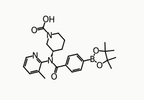 Cc1cccnc1N(C(=O)c1ccc(B2OC(C)(C)C(C)(C)O2)cc1)[C@@H]1CCCN(C(=O)O)C1